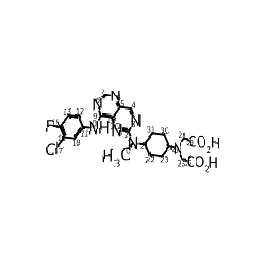 CN(c1ncc2ncnc(Nc3ccc(F)c(Cl)c3)c2n1)C1CCC(N(CC(=O)O)CC(=O)O)CC1